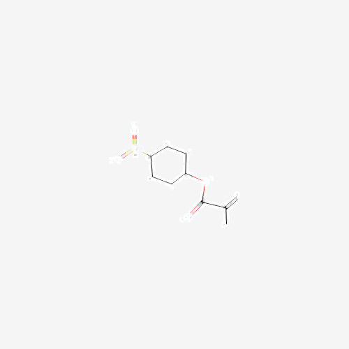 C=C(C)C(=O)OC1CCC([SH](=O)=O)CC1